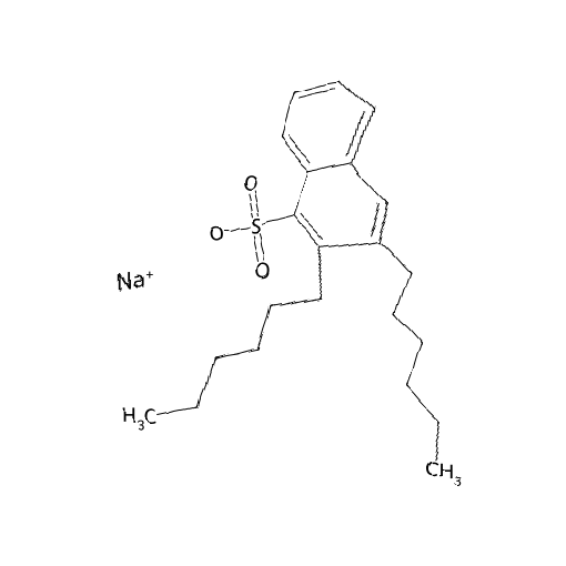 CCCCCCc1cc2ccccc2c(S(=O)(=O)[O-])c1CCCCCC.[Na+]